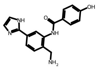 NCc1ccc(-c2ncc[nH]2)cc1NC(=O)c1ccc(O)cc1